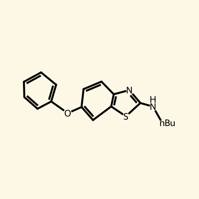 CCCCNc1nc2ccc(Oc3ccccc3)cc2s1